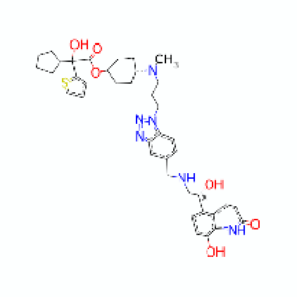 CN(CCCn1nnc2cc(CNC[C@H](O)c3ccc(O)c4[nH]c(=O)ccc34)ccc21)[C@H]1CC[C@H](OC(=O)C(O)(c2cccs2)C2CCCC2)CC1